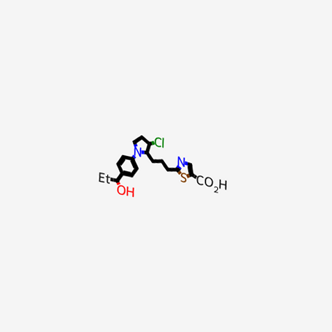 CCC(O)c1ccc(N2CCC(Cl)C2CCCc2ncc(C(=O)O)s2)cc1